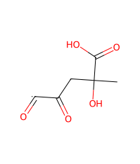 CC(O)(CC(=O)[C]=O)C(=O)O